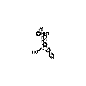 CN1CCN(C2CCN(c3ccc(Nc4ncc(Cl)c(Nc5ccccc5P(C)(C)=O)n4)cc3OCCCO)CC2)CC1